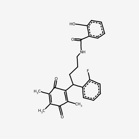 CC1=C(C)C(=O)C(C(CCCNC(=O)c2ccccc2O)c2ccccc2F)=C(C)C1=O